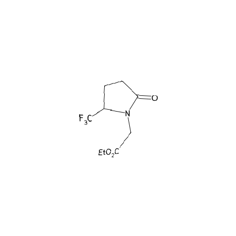 CCOC(=O)CN1C(=O)CCC1C(F)(F)F